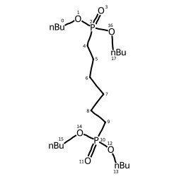 CCCCOP(=O)(CCCCCCP(=O)(OCCCC)OCCCC)OCCCC